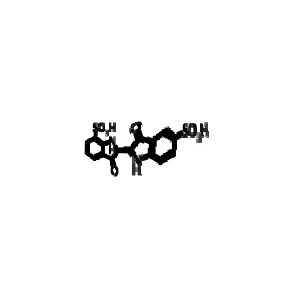 O=C1/C(=C2\Nc3c(cccc3S(=O)(=O)O)C2=O)Nc2ccc(S(=O)(=O)O)cc21